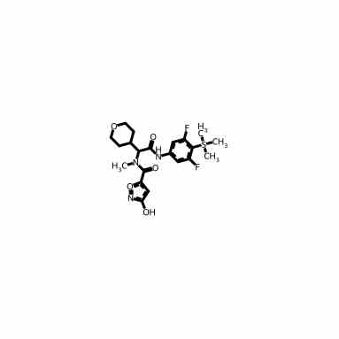 CN(C(=O)c1cc(O)no1)C(C(=O)Nc1cc(F)c(S(C)(C)C)c(F)c1)C1CCOCC1